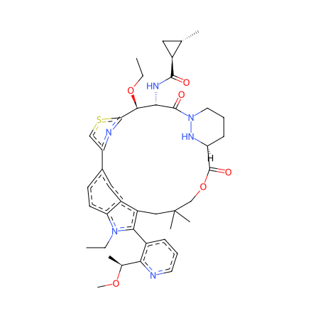 CCO[C@@H]1c2nc(cs2)-c2ccc3c(c2)c(c(-c2cccnc2[C@H](C)OC)n3CC)CC(C)(C)COC(=O)[C@@H]2CCCN(N2)C(=O)[C@H]1NC(=O)[C@H]1C[C@@H]1C